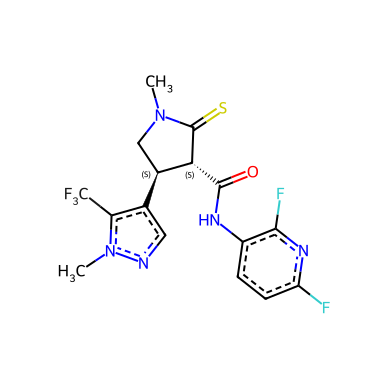 CN1C[C@H](c2cnn(C)c2C(F)(F)F)[C@@H](C(=O)Nc2ccc(F)nc2F)C1=S